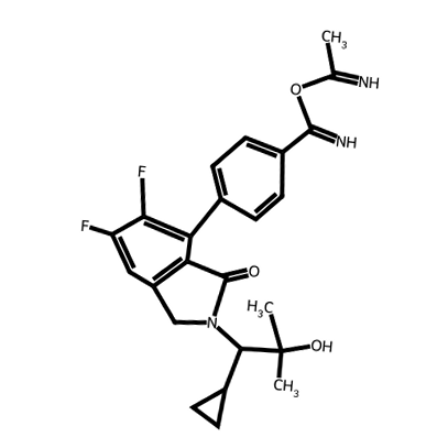 CC(=N)OC(=N)c1ccc(-c2c(F)c(F)cc3c2C(=O)N(C(C2CC2)C(C)(C)O)C3)cc1